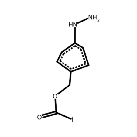 NNc1ccc(COC(=O)I)cc1